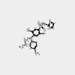 CC1=CC[C@H](Nc2cc(F)c(S(=O)(=O)Nc3nccs3)cc2Cl)[C@@H](N(C)C)C1